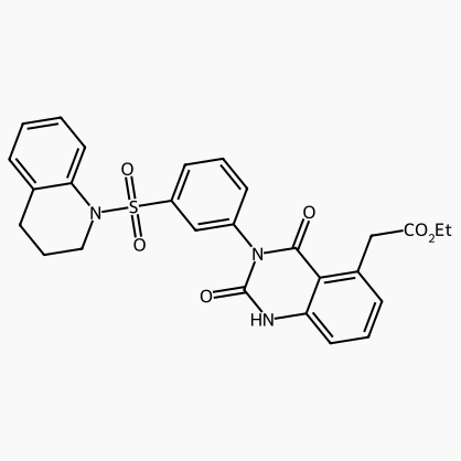 CCOC(=O)Cc1cccc2[nH]c(=O)n(-c3cccc(S(=O)(=O)N4CCCc5ccccc54)c3)c(=O)c12